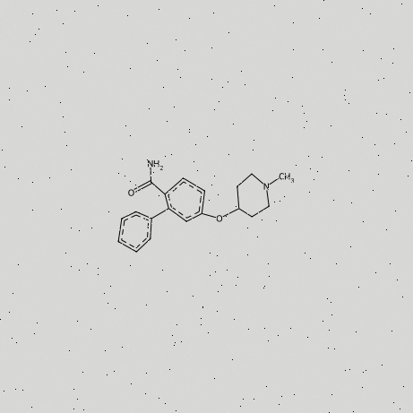 CN1CCC(Oc2ccc(C(N)=O)c(-c3ccccc3)c2)CC1